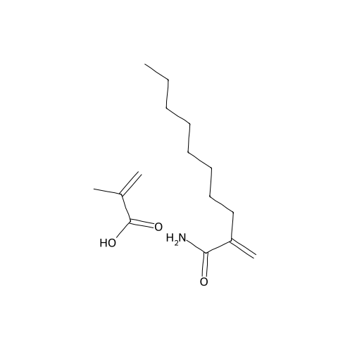 C=C(C)C(=O)O.C=C(CCCCCCCC)C(N)=O